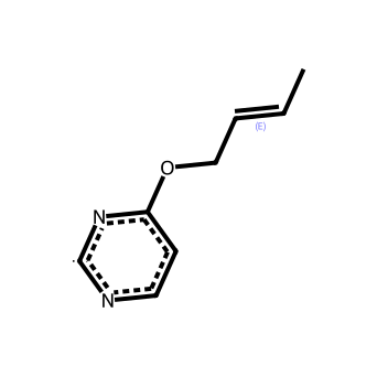 C/C=C/COc1ccn[c]n1